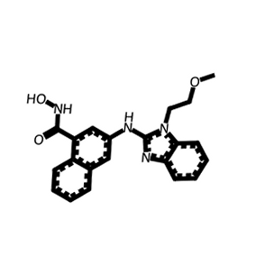 COCCn1c(Nc2cc(C(=O)NO)c3ccccc3c2)nc2ccccc21